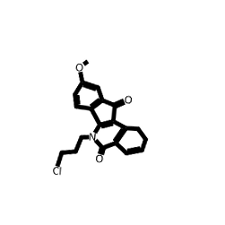 COc1ccc2c(c1)C(=O)c1c3c(c(=O)n(CCCCl)c1-2)C=CCC3